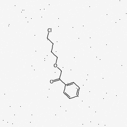 O=C(COCCCCCl)c1ccccc1